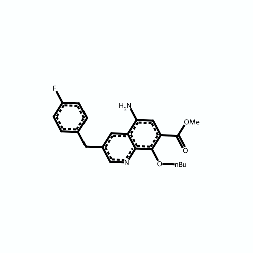 CCCCOc1c(C(=O)OC)cc(N)c2cc(Cc3ccc(F)cc3)cnc12